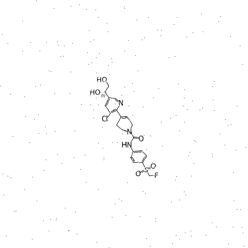 O=C(Nc1ccc(S(=O)(=O)CF)cc1)N1CC=C(c2ncc([C@H](O)CO)cc2Cl)CC1